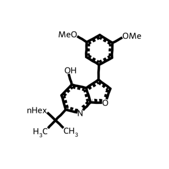 CCCCCCC(C)(C)c1cc(O)c2c(-c3cc(OC)cc(OC)c3)coc2n1